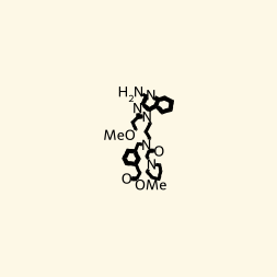 COCCc1nc2c(N)nc3ccccc3c2n1CCCN(Cc1cccc(CC(=O)OC)c1)C(=O)CN1CCCCC1